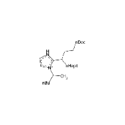 CCCCCCCCCCCCC(CCCCCCC)c1[nH]cc[n+]1C(C)CCCC